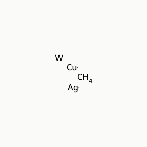 C.[Ag].[Cu].[W]